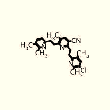 Cc1ccc(CCc2nc(CCc3nc(C)c(Cl)cc3C)c(C#N)cc2C)nc1C